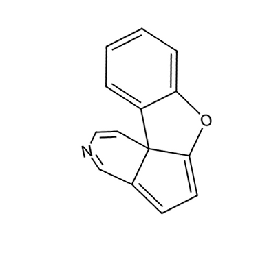 C1=CC23C(=CC=C2Oc2ccccc23)C=N1